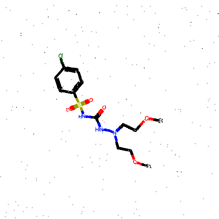 CCOCCN(CCOCC)NC(=O)NS(=O)(=O)c1ccc(Cl)cc1